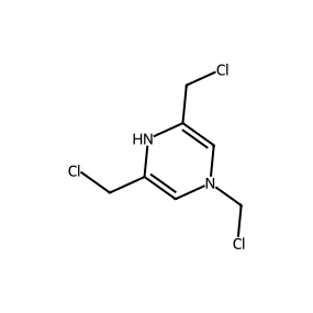 ClCC1=CN(CCl)C=C(CCl)N1